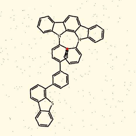 c1ccc(-n2c3ccccc3c3ccc4c5ccccc5n(-c5ccc(-c6cccc(-c7cccc8c7sc7ccccc78)c6)cc5)c4c32)cc1